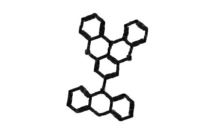 c1ccc2c(c1)Cc1ccccc1N2c1cc2c3c(c1)Oc1ccccc1B3c1ccccc1O2